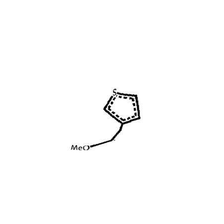 CO[CH]c1ccsc1